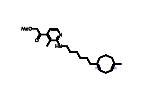 COCC(=O)c1ccnc(NCCCCCC/C2=C/C/C=C(/C)CCC2)c1C